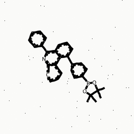 CC1(C)OB(c2ccc(-c3cccc4c(-c5ccccc5)nc5ccccc5c34)cc2)OC1(C)C